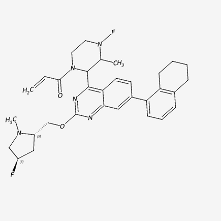 C=CC(=O)N1CCN(F)C(C)C1c1nc(OC[C@@H]2C[C@@H](F)CN2C)nc2cc(-c3cccc4c3CCCC4)ccc12